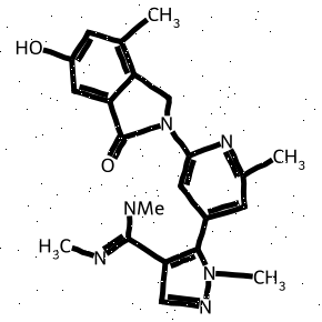 C/N=C(\NC)c1cnn(C)c1-c1cc(C)nc(N2Cc3c(C)cc(O)cc3C2=O)c1